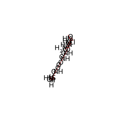 C=CC(=O)Nc1ccccc1Nc1nc(Nc2cc(C(N)=O)c(OCCCNC(=O)CCCC(=O)NCCCOCCOCCOCCCNC(=O)CCCC[C@H]3SC[C@H]4NC(=O)N[C@H]43)cc2C)ncc1Cl